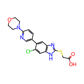 O=C(O)CSc1nc2cc(-c3ccc(N4CCOCC4)nc3)c(Cl)cc2[nH]1